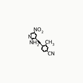 Cc1cc(C#N)ccc1C#Cc1cc([N+](=O)[O-])cnc1N